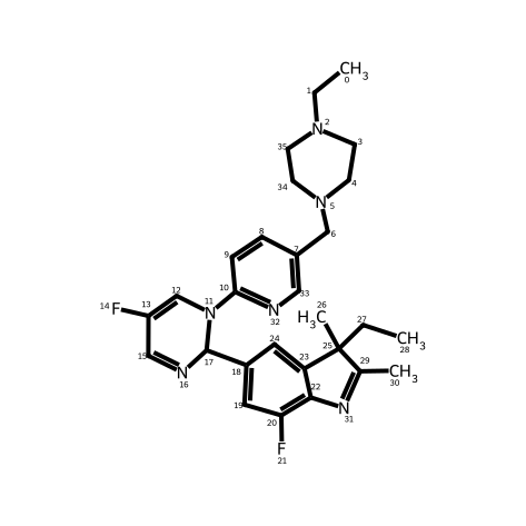 CCN1CCN(Cc2ccc(N3C=C(F)C=NC3c3cc(F)c4c(c3)C(C)(CC)C(C)=N4)nc2)CC1